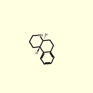 c1ccc2c(c1)CC[C@@H]1NCCC[C@@H]21